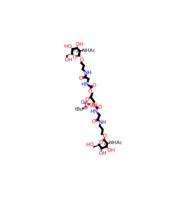 CC(=O)N[C@H]1[C@H](OCCCNC(=O)CNC(=O)OCC(COC(=O)NCC(=O)NCCCO[C@@H]2O[C@H](CO)[C@H](O)[C@H](O)[C@H]2NC(C)=O)OP(=O)(O)OC(C)(C)C)O[C@H](CO)[C@H](O)[C@@H]1O